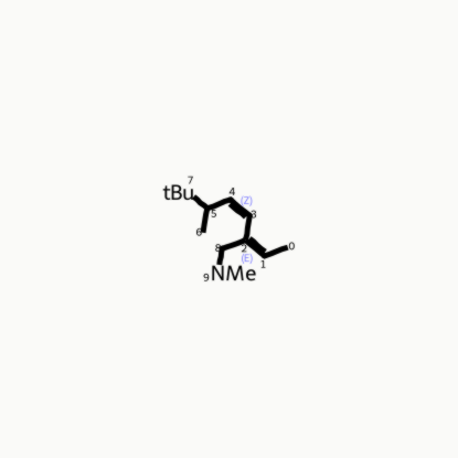 C/C=C(\C=C/C(C)C(C)(C)C)CNC